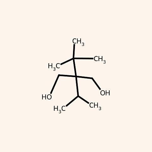 CC(C)C(CO)(CO)C(C)(C)C